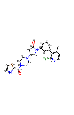 Cc1ccnc([18F])c1-c1cccc(N2CC(N3CCN(C(=O)c4nccs4)CC3)CC2=O)c1